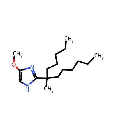 CCCCCCC(C)(CCCCC)c1nc(OC)c[nH]1